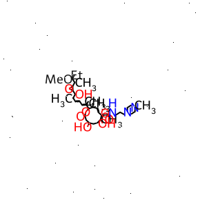 CCC(OC)C(C)C1OC1C(O)C(C)/C=C/C=C(\C)C1OC(=O)CC(O)CCC(C)(O)C(OC(=O)NCCCN2CCN(C)CC2)/C=C/C1C